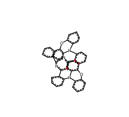 c1ccc(-c2nc(-c3ccccc3N3c4ccccc4Oc4ccccc43)nc(-c3ccccc3N3c4ccccc4Oc4ccccc43)n2)cc1